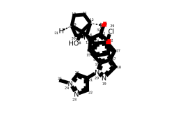 Cc1ncccc1C1(O)[C@@H]2CC[C@H]1N(c1cc3c(cnn3-c3cnn(C)c3)cc1Cl)C2